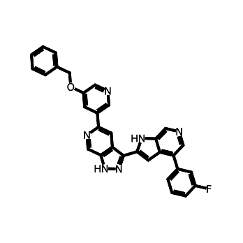 Fc1cccc(-c2cncc3[nH]c(-c4n[nH]c5cnc(-c6cncc(OCc7ccccc7)c6)cc45)cc23)c1